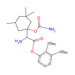 CCCCCCCCCCc1cccc(OC(=O)C(N)C2(OC(N)=O)CC(C)CC(C)(C)C2)c1CCCCCCCCCC